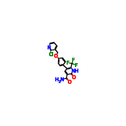 NC(=O)c1cc(-c2ccc(OCc3cccnc3Cl)cc2)c(C(F)(F)F)[nH]c1=O